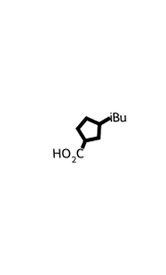 CCC(C)C1CCC(C(=O)O)C1